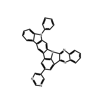 c1ccc(-n2c3ccccc3c3cc4c5cc(-c6cncnc6)cc6c7nc8ccccc8nc7n(c4cc32)c56)cc1